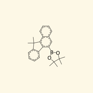 CC1(C)c2ccccc2-c2c(B3OC(C)(C)C(C)(C)O3)cc3ccccc3c21